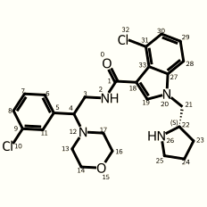 O=C(NCC(c1cccc(Cl)c1)N1CCOCC1)c1cn(C[C@@H]2CCCN2)c2cccc(Cl)c12